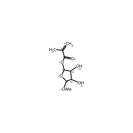 C=C(C)C(=O)OC1OC(OC)C(O)C1O